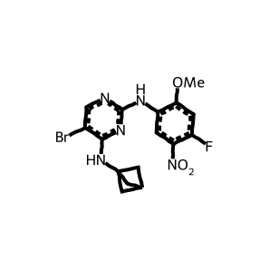 COc1cc(F)c([N+](=O)[O-])cc1Nc1ncc(Br)c(NC23CC(C2)C3)n1